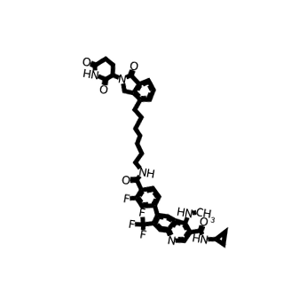 CNc1c(C(=O)NC2CC2)cnc2cc(C(F)(F)F)c(-c3ccc(C(=O)NCCCCCCCc4cccc5c4CN(C4CCC(=O)NC4=O)C5=O)c(F)c3)cc12